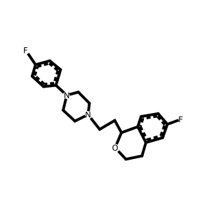 Fc1ccc(N2CCN(CCC3OCCc4cc(F)ccc43)CC2)cc1